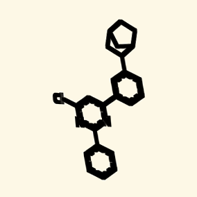 Clc1cc(-c2cccc(C3CC4CCC3C4)c2)nc(-c2ccccc2)n1